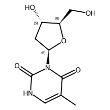 Cc1c[nH]c(=O)n([C@H]2C[C@H](O)[C@@H](CO)O2)c1=O